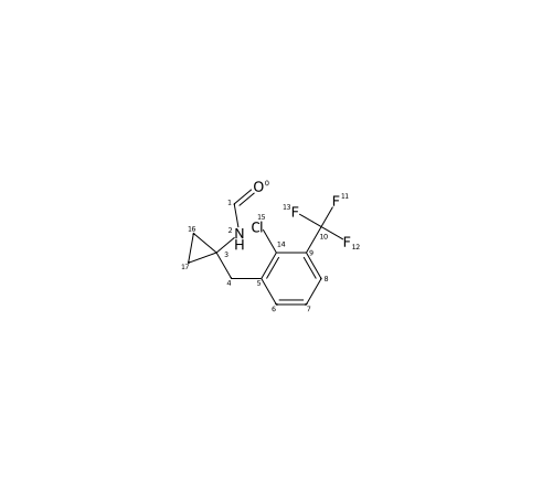 O=CNC1(Cc2cccc(C(F)(F)F)c2Cl)CC1